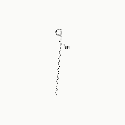 CCCCCCCCCCCCCCCCCCC(CO)OCc1ccccc1